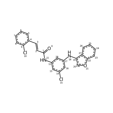 O=C(C=Cc1ccccc1Cl)Nc1cc(Cl)cc(Nc2noc3ccccc23)c1